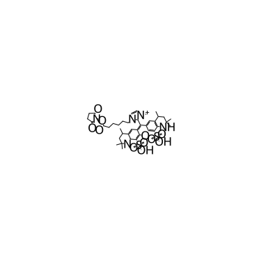 CC1CC(C)(C)Nc2c1cc1c(c2S(=O)(=O)O)Oc2c(S(=O)(=O)O)c3c(cc2=C1c1n(CCCCCC(=O)ON2C(=O)CCC2=O)cc[n+]1C)C(C)CC(C)(C)N=3